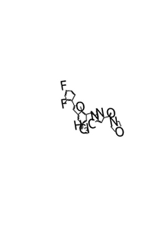 Cc1cc(C(=O)N2CCOCC2)nn1Cc1cc(Cl)cc2cc(-c3ccc(F)cc3F)oc12